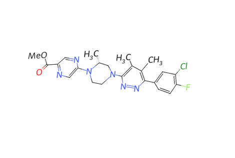 COC(=O)c1cnc(N2CCN(c3nnc(-c4ccc(F)c(Cl)c4)c(C)c3C)C[C@H]2C)cn1